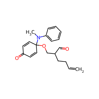 C=CCCC(C=O)COC1(N(C)c2ccccc2)C=CC(=O)C=C1